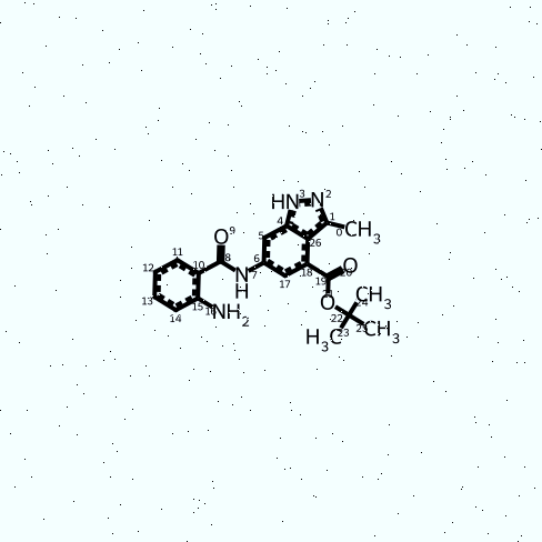 Cc1n[nH]c2cc(NC(=O)c3ccccc3N)cc(C(=O)OC(C)(C)C)c12